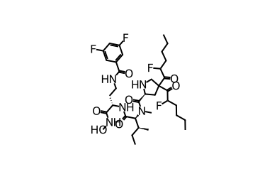 CCCCC(F)C(=O)C1(C(=O)C(F)CCCC)CN[C@H](C(=O)N(C)[C@H](C(=O)N[C@@H](CCNC(=O)c2cc(F)cc(F)c2)C(=O)NO)[C@@H](C)CC)C1